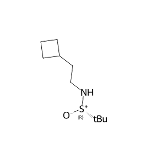 CC(C)(C)[S@+]([O-])NCCC1CCC1